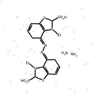 CCN1C2=C(C=CCC2=NN=C2CC=CC3=C2N(CC)C(S(=O)(=O)O)S3)SC1S(=O)(=O)O.N.N